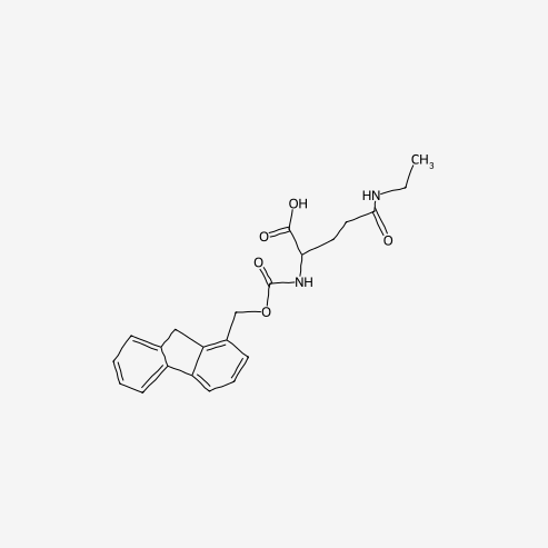 CCNC(=O)CCC(NC(=O)OCc1cccc2c1Cc1ccccc1-2)C(=O)O